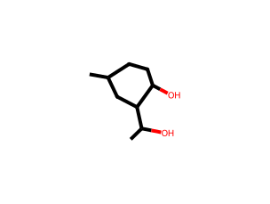 CC1CCC(O)C(C(C)O)C1